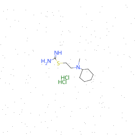 CN(CCSC(=N)N)C1CCCCC1.Cl.Cl